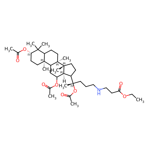 CCOC(=O)CCNCCC[C@](C)(OC(C)=O)C1CC[C@]2(C)[C@@H]1C(OC(C)=O)CC1[C@@]3(C)CC[C@H](OC(C)=O)C(C)(C)C3CC[C@]12C